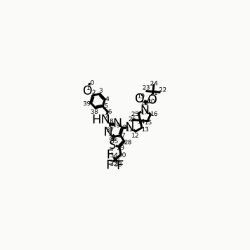 COc1ccc(CNc2nc(N3CCC4(CCN(C(=O)OC(C)(C)C)C4)C3)c3cc(CC(F)(F)F)sc3n2)cc1